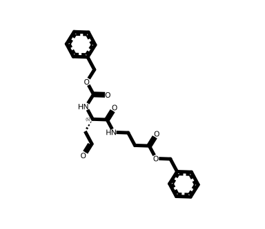 O=CC[C@H](NC(=O)OCc1ccccc1)C(=O)NCCC(=O)OCc1ccccc1